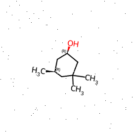 C[C@H]1C[C@@H](O)CC(C)(C)C1